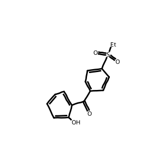 CCS(=O)(=O)c1ccc(C(=O)c2ccccc2O)cc1